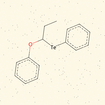 CCC(Oc1ccccc1)[Te]c1ccccc1